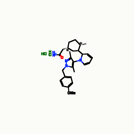 COc1ccc(Cn2nc(C)c(N3C=CC=CC3C3C[C@H](CC(N)=O)CC[C@@H]3C)c2C)cc1.Cl.Cl